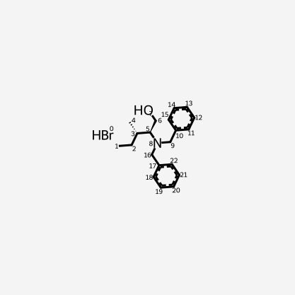 Br.CC[C@H](C)[C@@H](CO)N(Cc1ccccc1)Cc1ccccc1